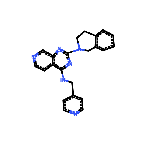 c1ccc2c(c1)CCN(c1nc(NCc3ccncc3)c3ccncc3n1)C2